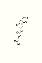 CO[C@H]1CC(=O)N(CCNC(=O)CSCC(N)=O)C1=O